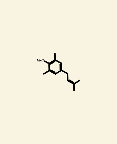 COc1c(C)cc(CC=C(C)C)cc1C